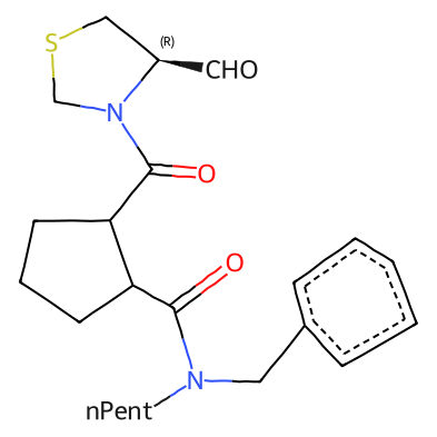 CCCCCN(Cc1ccccc1)C(=O)C1CCCC1C(=O)N1CSC[C@H]1C=O